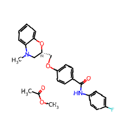 CN1C[C@@H](COc2ccc(C(=O)Nc3ccc(F)cc3)cc2)Oc2ccccc21.COC(C)=O